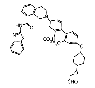 O=CCOC1CCC(Oc2ccc(-c3ccc(N4CCc5cccc(C(=O)Nc6nc7ccccc7s6)c5C4)nc3C(=O)O)c(C(F)(F)F)c2)CC1